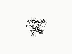 CC(C)(C)C=CC=CC(C)(C)C.CCCC(C)P(=NC1=CC=CC1)(C(C)CCC)C(C)CCC.[Ti]